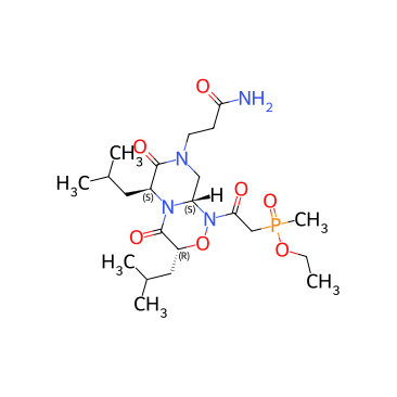 CCOP(C)(=O)CC(=O)N1O[C@H](CC(C)C)C(=O)N2[C@@H]1CN(CCC(N)=O)C(=O)[C@@H]2CC(C)C